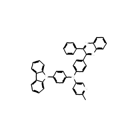 Cc1ccc(N(c2ccc(-c3nc4ccccc4nc3-c3ccccc3)cc2)c2ccc(-n3c4ccccc4c4ccccc43)cc2)cn1